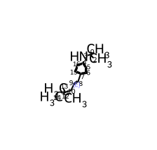 CC(C)Nc1ccc(/C=C/CC(C)(C)C)cc1